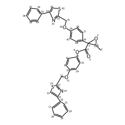 CN1OC1(C(=O)Oc1ccc(OCc2nc(-c3ccccc3)cs2)cc1)c1ccc(OCc2nc(-c3ccccc3)cs2)cc1